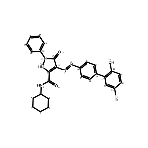 O=C(NC1CCCCC1)c1[nH]n(-c2ccccc2)c(=O)c1N=Nc1ccc(-c2cc(O)ccc2O)cc1